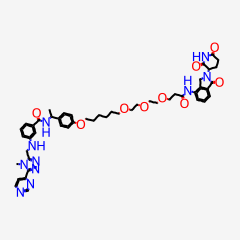 CC(NC(=O)c1cccc(NCc2nnc(-c3ccncn3)n2C)c1)c1ccc(OCCCCCCOCCOCCOCCC(=O)Nc2cccc3c2CN(C2CCC(=O)NC2=O)C3=O)cc1